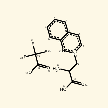 NC(C[n+]1ccc2ccccc2n1)C(=O)O.O=C([O-])C(F)(F)F